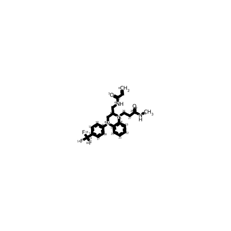 C=CC(=O)NCC1CN(c2ccc(C(F)(F)F)cc2)c2ccccc2N1CCC(=O)NC